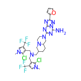 Cn1cc(C(F)(F)F)c(CN(Cc2c(C(F)(F)F)cn(C)c2Cl)CC2CCC3CN(c4nc(N)n5nc(-c6ccco6)nc5n4)CCN3C2)c1Cl